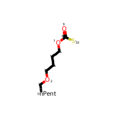 CCCCCCOCCCCOC(=O)[S]